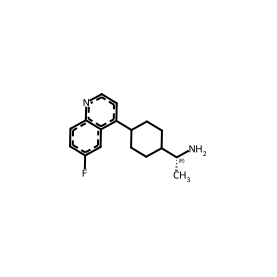 C[C@@H](N)C1CCC(c2ccnc3ccc(F)cc23)CC1